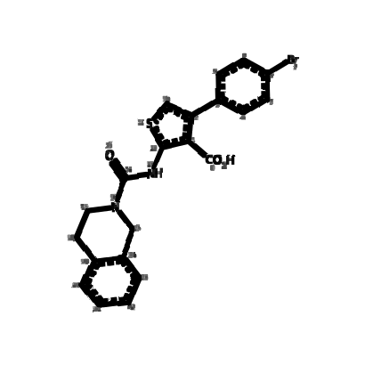 O=C(O)c1c(-c2ccc(Br)cc2)csc1NC(=O)N1CCc2ccccc2C1